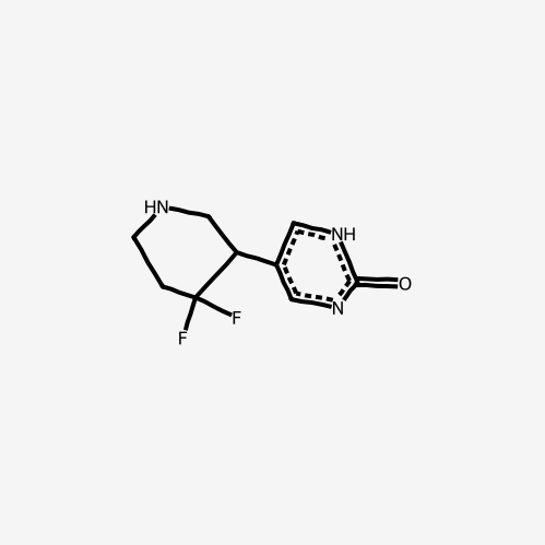 O=c1ncc(C2CNCCC2(F)F)c[nH]1